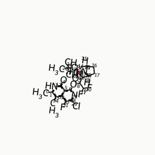 Cc1[nH]c(=O)c2c(OC(C(F)F)[C@H]3NC[C@H]4CC[C@@H]3N4C(=O)OC(C)(C)C)nc(Cl)c(F)c2c1C